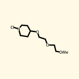 COCCOCCOC1CCN(Cl)CC1